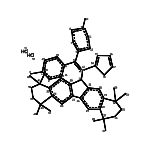 Cc1ccc([C](c2ccc(C)cc2)=[Zr]([C]2=CC=CC2)[CH]2c3cc4c(cc3-c3cc5c(cc32)C(C)(C)CCC5(C)C)C(C)(C)CCC4(C)C)cc1.Cl.Cl